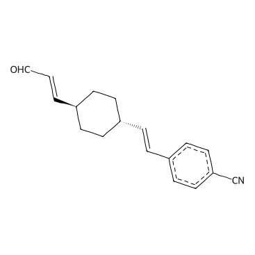 N#Cc1ccc(C=C[C@H]2CC[C@H](C=CC=O)CC2)cc1